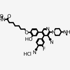 CNC1CCN(c2ncc(-c3ccc(OCCCCCCC(=O)NO)c(O)c3)c(-c3ccc(C#N)c(F)c3)c2C#N)CC1.Cl